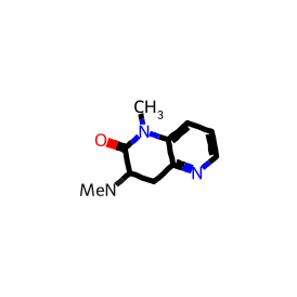 CNC1Cc2ncccc2N(C)C1=O